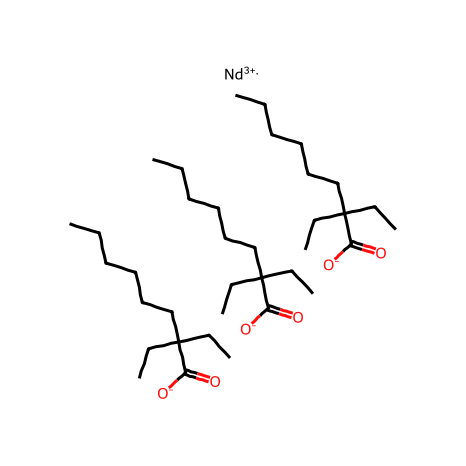 CCCCCCC(CC)(CC)C(=O)[O-].CCCCCCC(CC)(CC)C(=O)[O-].CCCCCCC(CC)(CC)C(=O)[O-].[Nd+3]